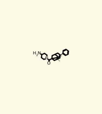 C[C@@]12CC3CC(C(=O)N4CCC(N)CC4)(C1)C[C@](c1ccccc1)(C3)C2